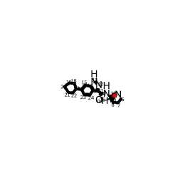 O=C(N[C@@H]1CN2CCC1CC2)c1n[nH]c2cc(C3CCCCC3)ccc12